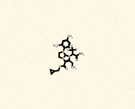 CCC1=C(C(=O)OCC2CC2)N2CCN(c3c(C)cc(C)cc3Cl)C2N1C(C(N)=O)C(F)(F)F